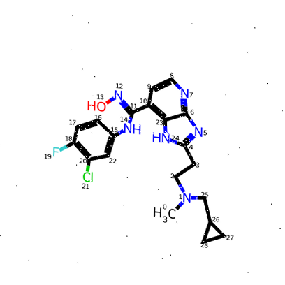 CN(CCc1nc2nccc(/C(=N/O)Nc3ccc(F)c(Cl)c3)c2[nH]1)CC1CC1